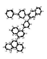 c1ccc(-c2ccc(-c3nc4ccccc4nc3-c3ccc(-c4ccc(-c5cc6cccnc6c6ccccc56)c5ccccc45)cc3)cc2)cc1